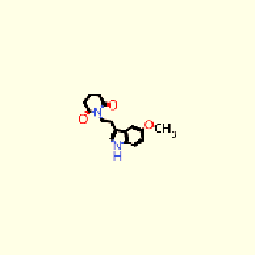 COc1ccc2[nH]cc(CCN3C(=O)CCCC3=O)c2c1